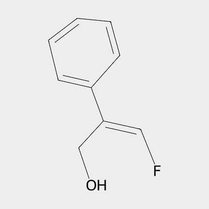 OC/C(=C\F)c1ccccc1